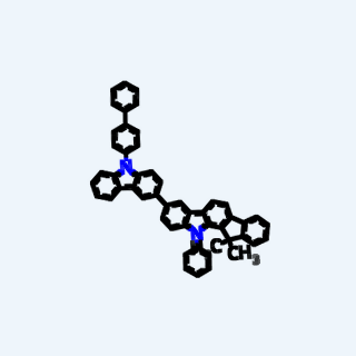 CC1(C)c2ccccc2-c2ccc3c4cc(-c5ccc6c(c5)c5ccccc5n6-c5ccc(-c6ccccc6)cc5)ccc4n(-c4ccccc4)c3c21